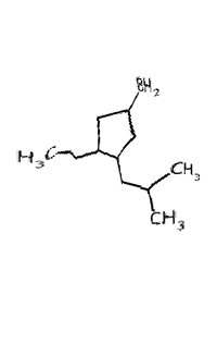 BC1CC(CC)C(CC(C)C)C1